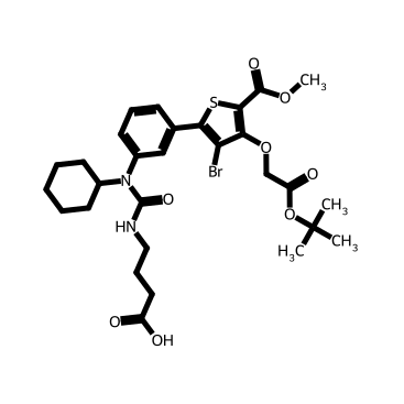 COC(=O)c1sc(-c2cccc(N(C(=O)NCCCC(=O)O)C3CCCCC3)c2)c(Br)c1OCC(=O)OC(C)(C)C